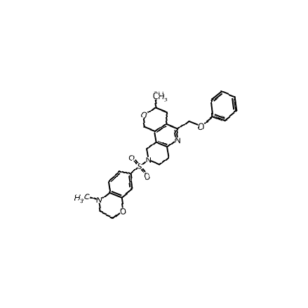 CC1Cc2c(COc3ccccc3)nc3c(c2CO1)CN(S(=O)(=O)c1ccc2c(c1)OCCN2C)CC3